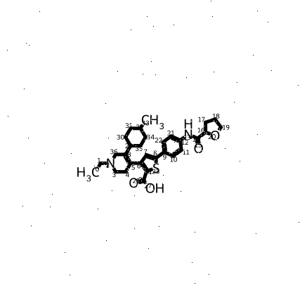 CCN1CCC(c2cc(-c3ccc(NC(=O)C4CCCO4)cc3)sc2C(=O)O)=C(C2CCC(C)CC2)C1